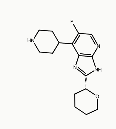 Fc1cnc2[nH]c([C@H]3CCCCO3)nc2c1C1CCNCC1